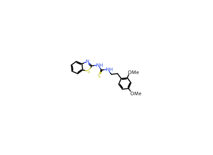 COc1ccc(CCNC(=S)Nc2nc3ccccc3s2)c(OC)c1